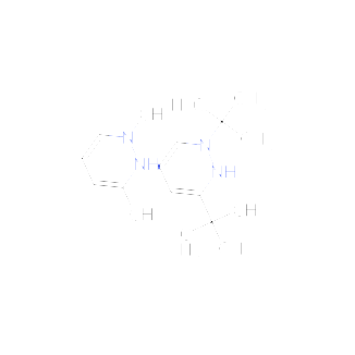 CC(C)(C)C1=CC=CN(C(C)(C)C)N1.CC1=CC=CN(C)N1